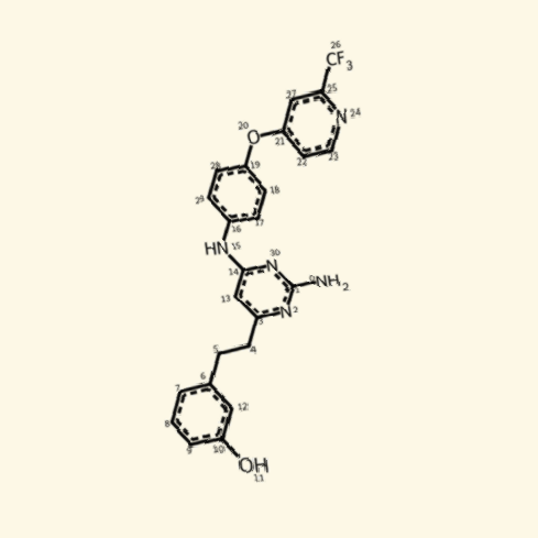 Nc1nc(CCc2cccc(O)c2)cc(Nc2ccc(Oc3ccnc(C(F)(F)F)c3)cc2)n1